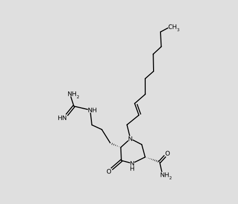 CCCCCCCC=CCN1C[C@H](C(N)=O)NC(=O)[C@@H]1CCCNC(=N)N